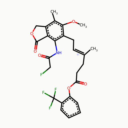 COc1c(C)c2c(c(NC(=O)CF)c1C/C=C(\C)CCC(=O)Oc1ccccc1C(F)(F)F)C(=O)OC2